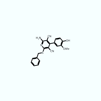 COc1cc(-c2c(C#N)c(N)nc(SCc3ccccc3)c2C#N)ccc1O